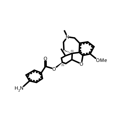 COc1ccc2c3c1OC1C[C@@H](OC(=O)c4ccc(N)cc4)CC(C)[C@@]31CCN(C)C2